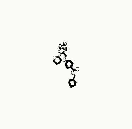 CS(=O)(=O)NC(COc1ccc(C(=O)OCc2ccccc2)cc1)OC1CCCCO1